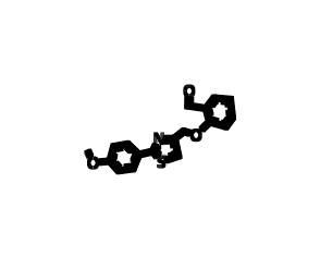 COc1ccc(-c2nc(COc3ccccc3C=O)cs2)cc1